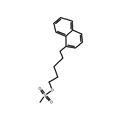 CS(=O)(=O)OCCCCCc1cccc2ccccc12